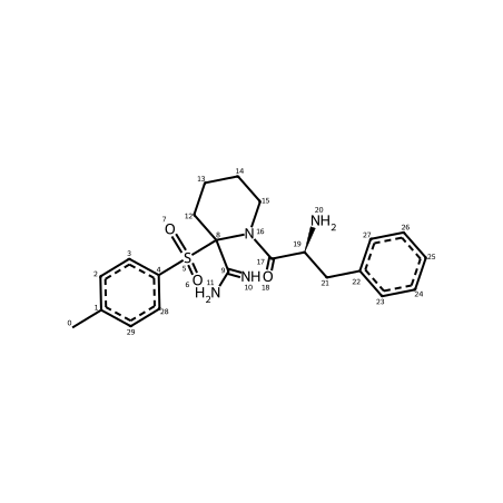 Cc1ccc(S(=O)(=O)C2(C(=N)N)CCCCN2C(=O)[C@@H](N)Cc2ccccc2)cc1